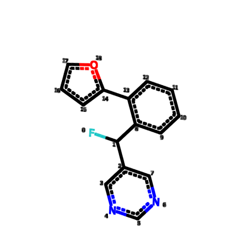 FC(c1cncnc1)c1ccccc1-c1ccco1